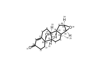 C[C@]12CC[C@H]3[C@@H](CCC4=CC(=O)CC[C@]43O)[C@@H]1C[C@H]1O[C@H]12